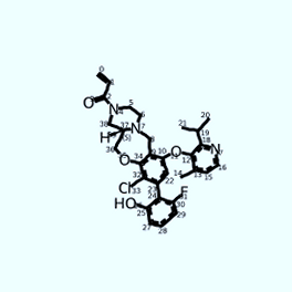 C=CC(=O)N1CCN2Cc3c(Oc4c(C)ccnc4C(C)C)cc(-c4c(O)cccc4F)c(Cl)c3OC[C@@H]2C1